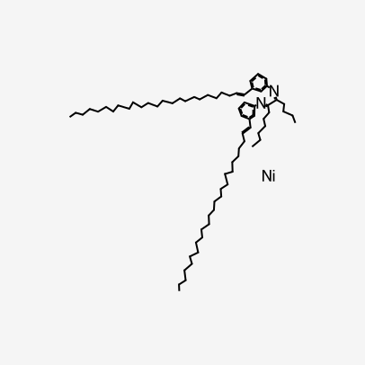 CCCCCCCCCCCCCCCCCCCCCCCC=Cc1cccc(N=C(CCCC)C(CCCCCC)=Nc2cccc(C=CCCCCCCCCCCCCCCCCCCCCCCC)c2)c1.[Ni]